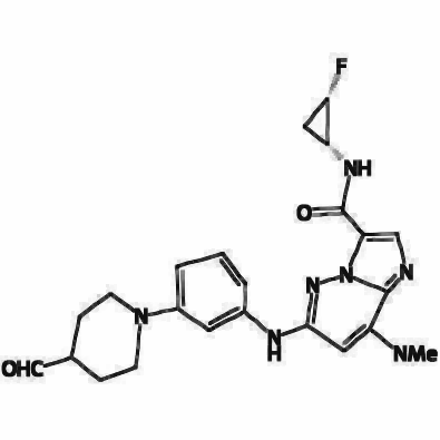 CNc1cc(Nc2cccc(N3CCC(C=O)CC3)c2)nn2c(C(=O)N[C@@H]3C[C@@H]3F)cnc12